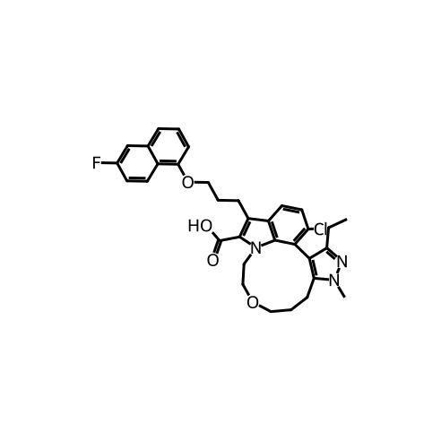 CCc1nn(C)c2c1-c1c(Cl)ccc3c(CCCOc4cccc5cc(F)ccc45)c(C(=O)O)n(c13)CCOCCC2